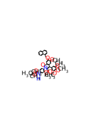 COC(=O)c1c(-c2cc(OC)c(OC)c(OC)c2)c2cc(OC)c(OCc3cccc4ccccc34)cc2c(=O)n1-c1ccc(NC(=O)OC(C)(C)C)cc1